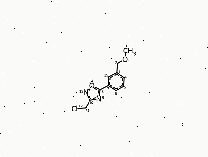 COCc1cccc(-c2nc(CCl)no2)c1